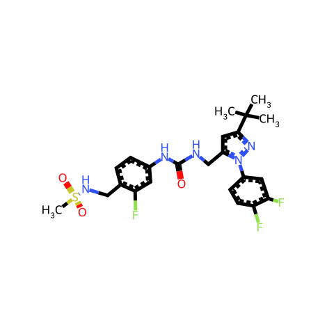 CC(C)(C)c1cc(CNC(=O)Nc2ccc(CNS(C)(=O)=O)c(F)c2)n(-c2ccc(F)c(F)c2)n1